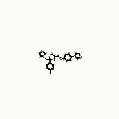 Cc1ccc(C2(Cn3ccnc3)OCC(COc3ccc(-n4ccnc4)cc3)O2)cc1